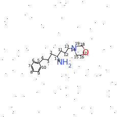 NC(CCCc1ccccc1)CCCN1CCOCC1